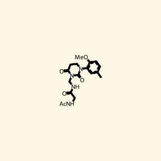 COc1ccc(C)cc1N1CCC(=O)N(CNC(=O)CNC(C)=O)C1=O